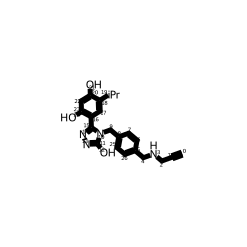 C#CCNCc1ccc(Cn2c(O)nnc2-c2cc(C(C)C)c(O)cc2O)cc1